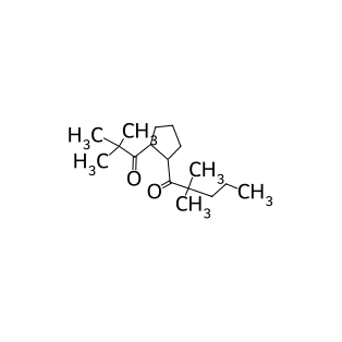 CCCC(C)(C)C(=O)C1CCCC1C(=O)C(C)(C)C